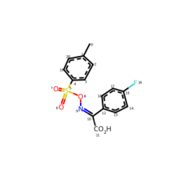 Cc1ccc(S(=O)(=O)ON=C(C(=O)O)c2ccc(F)cc2)cc1